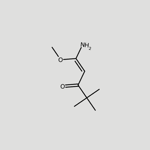 CO/C(N)=C\C(=O)C(C)(C)C